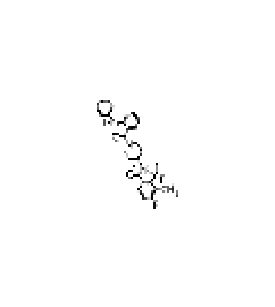 Cc1c(F)ccc(C(=O)NC2CCN(C(=O)c3ccccc3Nc3ccccc3)CC2)c1C(F)(F)F